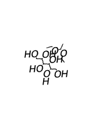 CCOC(C)OCC.OC[C@@H](O)[C@@H](O)[C@H](O)[C@@H](O)CO